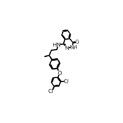 CC(CCNc1n[nH]c(=O)c2ccccc12)c1ccc(Oc2ccc(Cl)cc2Cl)cc1